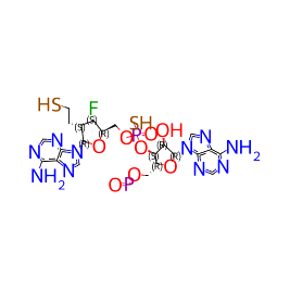 Nc1ncnc2c1ncn2[C@@H]1O[C@H](COP=O)[C@@H](OP(=O)(S)OC[C@H]2O[C@@H](n3cnc4c(N)ncnc43)[C@H](CCS)[C@@H]2F)[C@H]1O